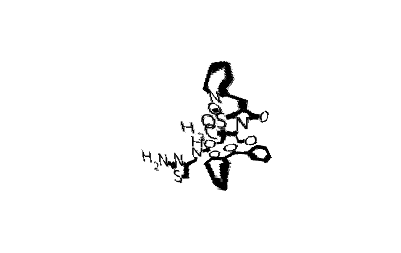 CC1(COC(=O)NCc2csc(N)n2)[C@H](C(=O)OC(c2ccccc2)c2ccccc2)N2C(=O)/C(=C/c3ccccn3)C2S1(=O)=O